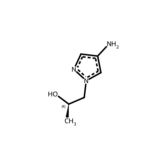 C[C@@H](O)Cn1cc(N)cn1